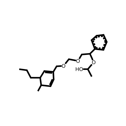 CCCC1C=C(COCOCC(OC(C)O)c2ccccc2)C=CC1C